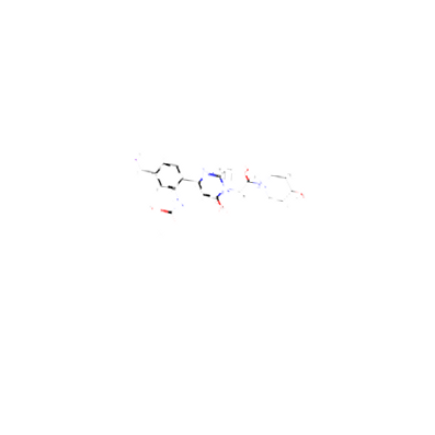 COC(=O)Nc1cc(CI)ccc1-c1cc(=O)n(CC(=O)N2CCC(O)CC2)c(C)n1